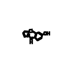 Oc1ccc(Nn2cccc2)c(Cl)c1